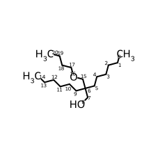 CCCCCCC(CO)(CCCCCC)COCCCC